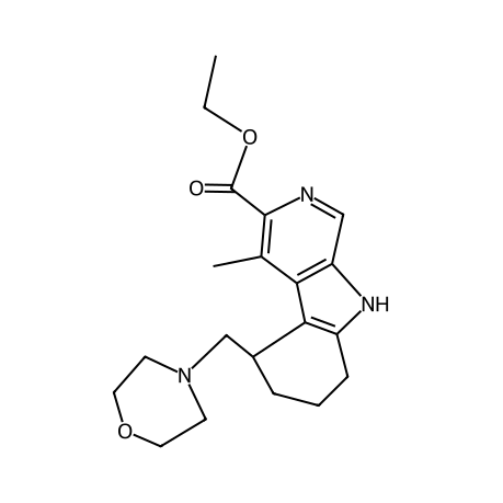 CCOC(=O)c1ncc2[nH]c3c(c2c1C)C(CN1CCOCC1)CCC3